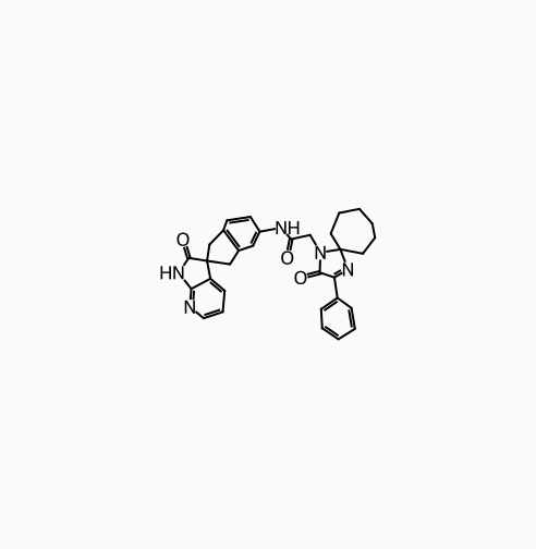 O=C(CN1C(=O)C(c2ccccc2)=NC12CCCCCC2)Nc1ccc2c(c1)CC1(C2)C(=O)Nc2ncccc21